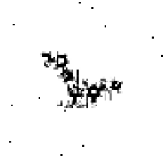 C=CC(=O)N1CCC[C@H](n2cc(Nc3ncc(C(N)=O)c(Nc4c(C)cc(C(=O)NC5CCC5)cc4OC)n3)cn2)C1